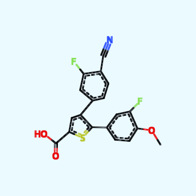 COc1ccc(-c2sc(C(=O)O)cc2-c2ccc(C#N)c(F)c2)cc1F